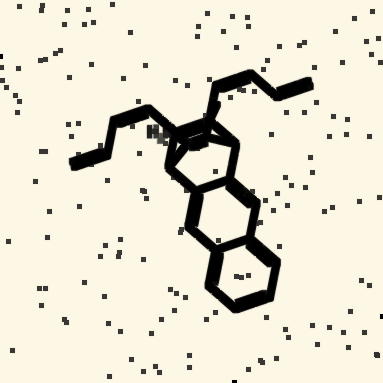 C=C/C=C\C1=C(C)C2C(/C=C\C=C)=C(N)C1c1cc3ccccc3cc12